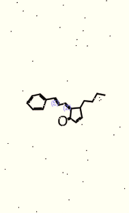 CCCCC1C=CC(=O)/C1=C\C=C\c1ccccc1